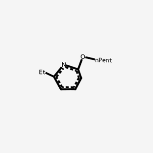 CCCCCOc1cccc(CC)n1